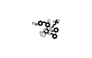 CCOc1ccc(Cc2cc([C@@H]3O[C@H](CC)[C@@H](C)[C@H](OCc4ccccc4)[C@H]3OCc3ccccc3)c(OCCCC3(F)COC3)cc2Cl)cc1